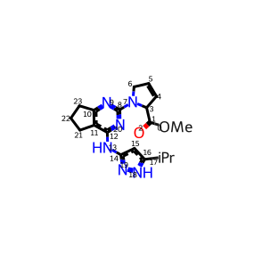 COC(=O)C1C=CCN1c1nc2c(c(Nc3cc(C(C)C)[nH]n3)n1)CCC2